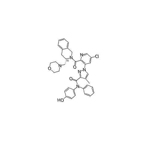 Cc1cn(-c2cc(Cl)cnc2C(=O)N2Cc3ccccc3C[C@H]2CN2CCOCC2)nc1C(=O)N(c1ccccc1)c1ccc(O)cc1